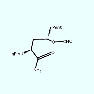 CCCCC[C@@H](C[C@H](CCCCC)C(N)=O)OC=O